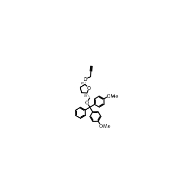 C#CCO[C@H]1CC[C@@H](COC(c2ccccc2)(c2ccc(OC)cc2)c2ccc(OC)cc2)O1